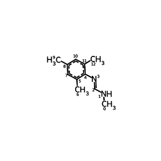 CNC=Nc1c(C)cc(C)cc1C